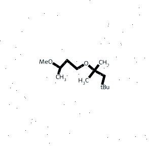 COC(C)CCOC(C)(C)CC(C)(C)C